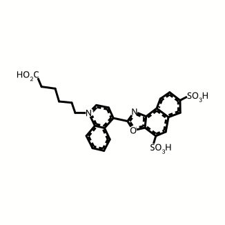 O=C(O)CCCCC[n+]1ccc(-c2nc3c(o2)c(S(=O)(=O)O)cc2cc(S(=O)(=O)O)ccc23)c2ccccc21